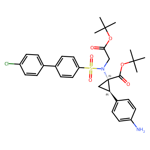 CC(C)(C)OC(=O)CN([C@@]1(C(=O)OC(C)(C)C)C[C@@H]1c1ccc(N)cc1)S(=O)(=O)c1ccc(-c2ccc(Cl)cc2)cc1